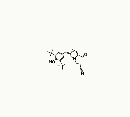 CC(C)(C)c1cc(C=C2CN(CCC#N)C(C=O)=CS2)cc(C(C)(C)C)c1O